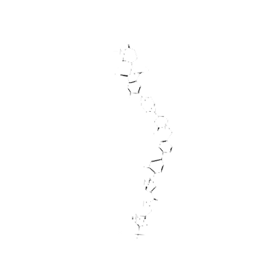 Cc1cc(-c2ccc(CN3CCC(N4CCN(c5cc6c(cc5F)C(=O)N(C5CCC(=O)NC5=O)C6=O)CC4)CC3=O)cc2)ccc1-n1cc(C(=O)NCc2nc(C(C)(C)C(F)(F)F)n[nH]2)cn1